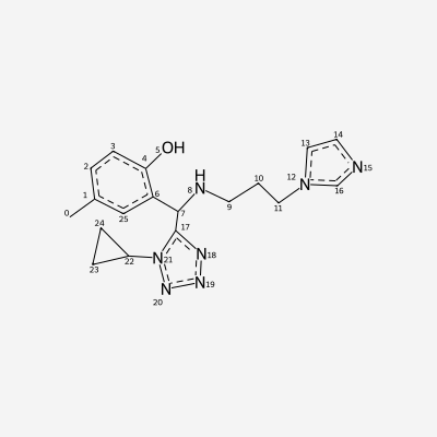 Cc1ccc(O)c(C(NCCCn2ccnc2)c2nnnn2C2CC2)c1